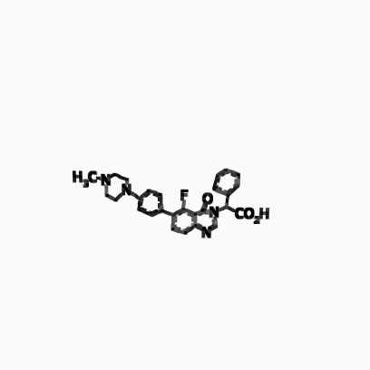 CN1CCN(c2ccc(-c3ccc4ncn(C(C(=O)O)c5ccccc5)c(=O)c4c3F)cc2)CC1